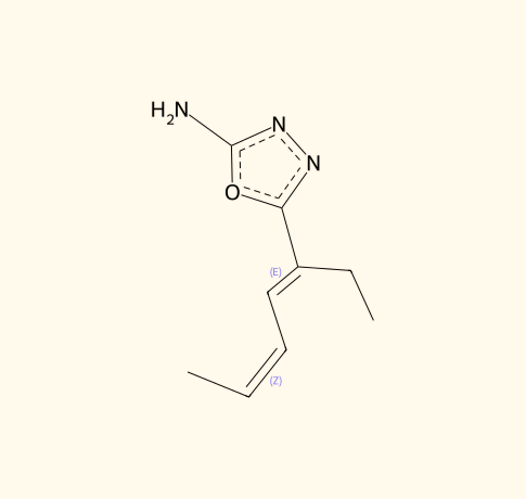 C/C=C\C=C(/CC)c1nnc(N)o1